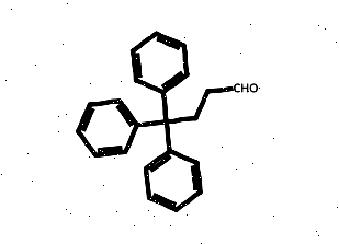 O=[C]CCC(c1ccccc1)(c1ccccc1)c1ccccc1